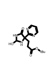 CC(C)(C)OC(=O)CCC1(c2ncccn2)NC(O)NC1=O